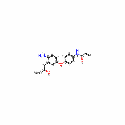 C=CC(=O)Nc1ccc(Oc2ccc(N)c(CC(=O)OC)c2)cc1